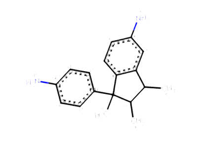 CC1c2cc(N)ccc2C(C)(c2ccc(N)cc2)C1C